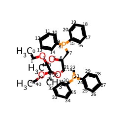 CCO[C@]1(C)O[C@@H](CP(c2ccccc2)c2ccccc2)[C@H](CP(c2ccccc2)c2ccccc2)O[C@@]1(C)OCC